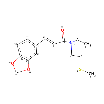 CCN(CCSC)C(=O)C=Cc1ccc2c(c1)OCO2